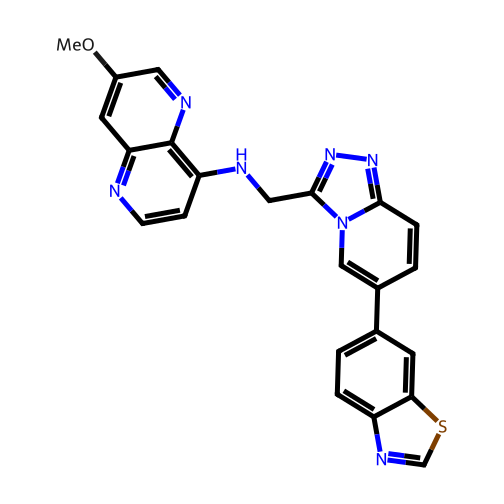 COc1cnc2c(NCc3nnc4ccc(-c5ccc6ncsc6c5)cn34)ccnc2c1